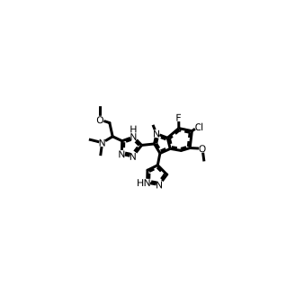 COCC(c1nnc(-c2c(-c3cn[nH]c3)c3cc(OC)c(Cl)c(F)c3n2C)[nH]1)N(C)C